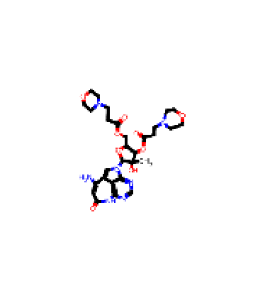 CC1(O)C(OC(=O)CCN2CCOCC2)C(COC(=O)CCN2CCOCC2)OC1n1cc2c3c(ncnc31)NC(=O)C=C2N